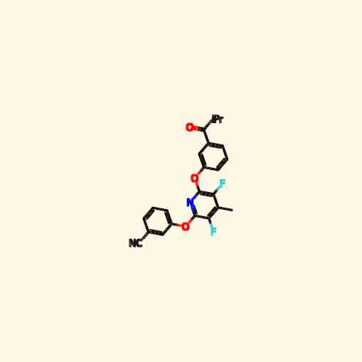 Cc1c(F)c(Oc2cccc(C#N)c2)nc(Oc2cccc(C(=O)C(C)C)c2)c1F